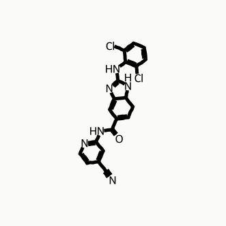 N#Cc1ccnc(NC(=O)C2=CCC3NC(Nc4c(Cl)cccc4Cl)=NC3=C2)c1